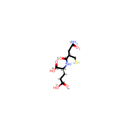 NC(=O)CC(CS)C(=O)N[C@@H](CCC(=O)O)C(=O)O